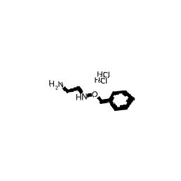 Cl.Cl.NCCNOCc1ccccc1